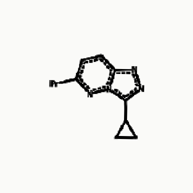 CC(C)c1ccc2nnc(C3CC3)n2n1